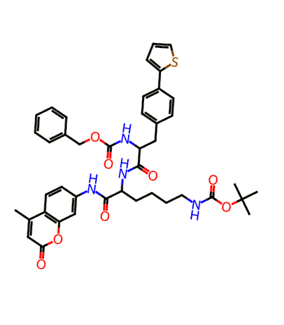 Cc1cc(=O)oc2cc(NC(=O)C(CCCCNC(=O)OC(C)(C)C)NC(=O)C(Cc3ccc(-c4cccs4)cc3)NC(=O)OCc3ccccc3)ccc12